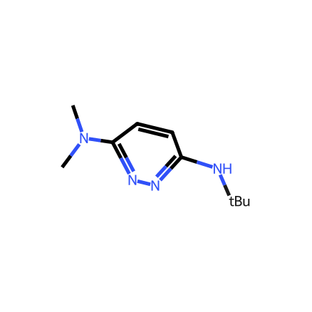 CN(C)c1ccc(NC(C)(C)C)nn1